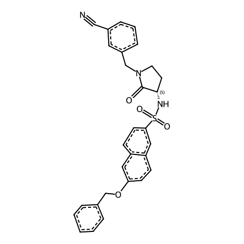 N#Cc1cccc(CN2CC[C@H](NS(=O)(=O)c3ccc4cc(OCc5ccccc5)ccc4c3)C2=O)c1